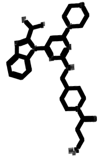 NCCC(=O)N1CCC(CNc2nc(N3CCOCC3)cc(-n3c(C(F)F)nc4ccccc43)n2)CC1